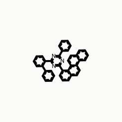 c1ccc(-c2nc(-c3ccccc3-c3ccccc3)nc(-c3cccc4ccc5c6ccccc6ccc5c34)n2)cc1